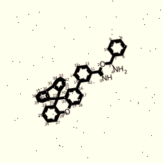 N=C(O[C@@H](N)c1ccccc1)c1cccc(-c2ccc3c(c2)C2(c4ccccc4O3)c3ccccc3-c3ccccc32)c1